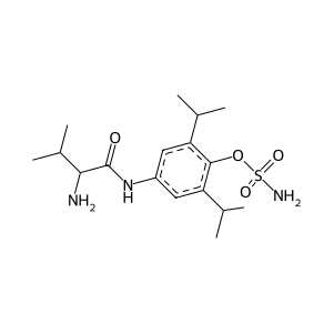 CC(C)c1cc(NC(=O)C(N)C(C)C)cc(C(C)C)c1OS(N)(=O)=O